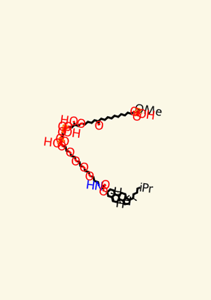 COP(=O)(O)OCCCCCCCCCCC(=O)CCCCOCC(O)COP(=O)(O)OCOP(=O)(O)OCCOCCOCCOCCOCCCNC(=O)O[C@H]1CC[C@@]2(C)C(=CC[C@H]3[C@@H]4CC[C@H]([C@H](C)CCCC(C)C)[C@@]4(C)CC[C@@H]32)C1